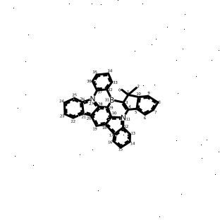 CC1(C)C2=C(c3ccccc31)n1c3ccccc3c3cc4c5ccccc5n5c4c(c31)B2c1ccccc1-5